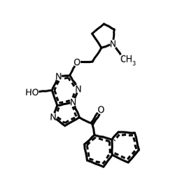 CN1CCCC1COc1nc(O)c2ncc(C(=O)c3cccc4ccccc34)n2n1